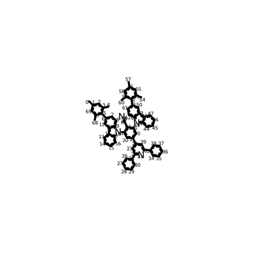 Cc1cc(C)c(-c2ccc3c(c2)c2ccccc2n3-c2cc(-c3cc(-c4ccccc4)nc(-c4ccccc4)c3)cc(-n3c4ccccc4c4cc(-c5c(C)cc(C)cc5C)ccc43)c2C#N)c(C)c1